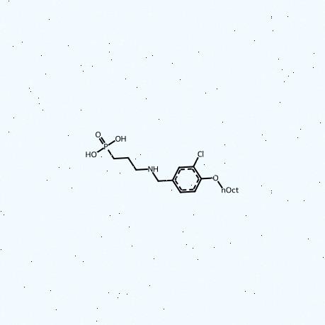 CCCCCCCCOc1ccc(CNCCCP(=O)(O)O)cc1Cl